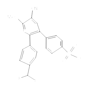 CCS(=O)(=O)c1ccc(-c2cc(C#N)c(OC)nc2-c2ccc(C(F)F)cc2)cc1